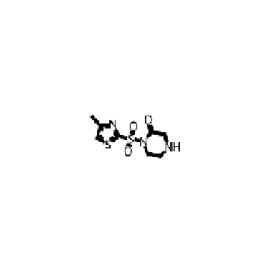 Cc1csc(S(=O)(=O)N2CCNCC2=O)n1